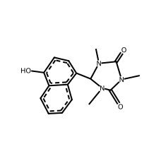 CN1C(=O)N(C)C(c2ccc(O)c3ccccc23)N(C)C1=O